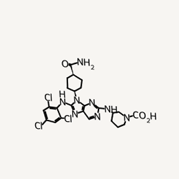 NC(=O)[C@H]1CC[C@@H](n2c(Nc3c(Cl)cc(Cl)cc3Cl)nc3cnc(NC4CCCN(C(=O)O)C4)nc32)CC1